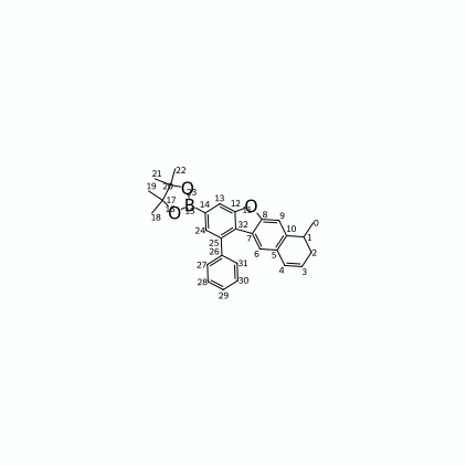 CC1CC=Cc2cc3c(cc21)oc1cc(B2OC(C)(C)C(C)(C)O2)cc(-c2ccccc2)c13